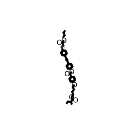 CCCCOC(=O)/C=C/c1ccc(C#Cc2ccc(OC(=O)c3ccc(OCCCCOC(=O)C(C)CC)cc3)cc2)cc1